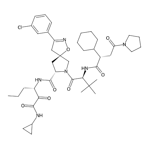 CCC[C@H](NC(=O)[C@@H]1C[C@]2(CC(c3cccc(Cl)c3)=NO2)CN1C(=O)[C@@H](NC(=O)[C@@H](CC(=O)N1CCCC1)C1CCCCC1)C(C)(C)C)C(=O)C(=O)NC1CC1